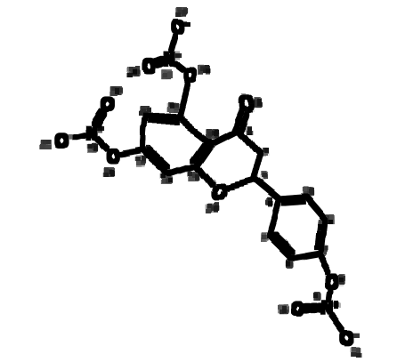 O=C1CC(c2ccc(O[N+](=O)[O-])cc2)Oc2cc(O[N+](=O)[O-])cc(O[N+](=O)[O-])c21